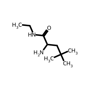 CCNC(=O)C(N)CC(C)(C)C